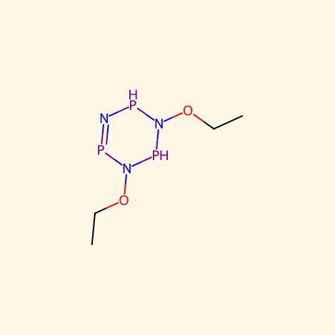 CCOn1pn[pH]n(OCC)[pH]1